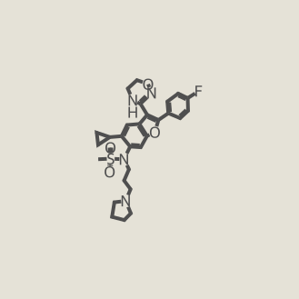 CS(=O)(=O)N(CCCN1CCCC1)c1cc2oc(-c3ccc(F)cc3)c(C3=NOCCN3)c2cc1C1CC1